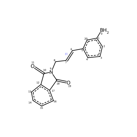 Bc1cccc(/C=C/CN2C(=O)c3ccccc3C2=O)c1